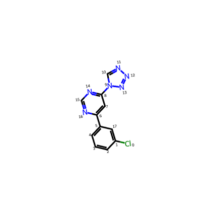 Clc1cccc(-c2cc(-n3cnnn3)ncn2)c1